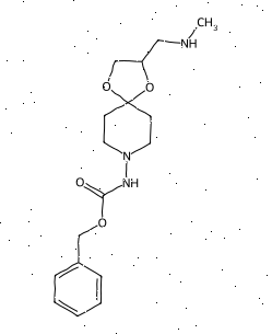 CNCC1COC2(CCN(NC(=O)OCc3ccccc3)CC2)O1